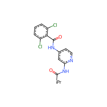 CC(C)C(=O)Nc1cc(NC(=O)c2c(Cl)cccc2Cl)ccn1